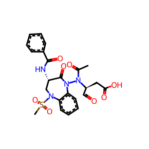 CC(=O)N([C@H](C=O)CC(=O)O)N1C(=O)[C@@H](NC(=O)c2ccccc2)CN(S(C)(=O)=O)c2ccccc21